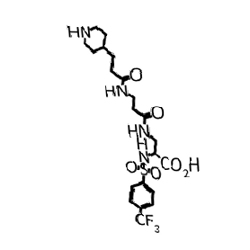 O=C(CCC1CCNCC1)NCCC(=O)NC[C@H](NS(=O)(=O)c1ccc(C(F)(F)F)cc1)C(=O)O